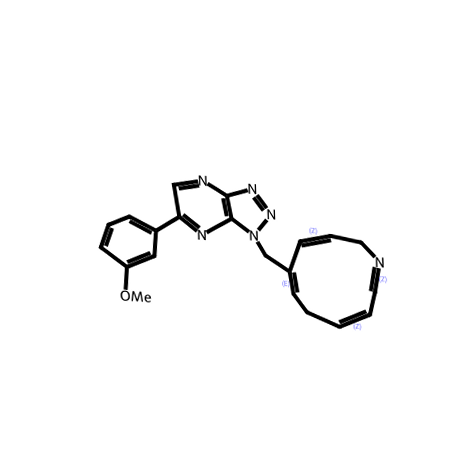 COc1cccc(-c2cnc3nnn(CC4=C/C/C=C\C=N/C/C=C\4)c3n2)c1